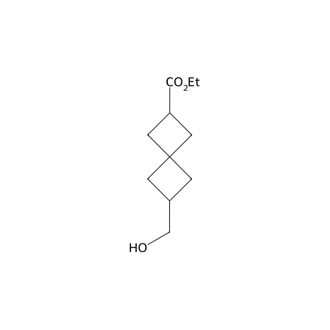 CCOC(=O)C1CC2(CC(CO)C2)C1